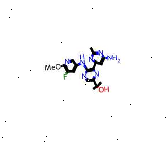 COc1ncc(Nc2ncc(C(C)(C)O)nc2-c2cc(N)nc(C)n2)cc1F